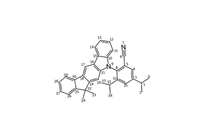 CC(C)c1cc(C#N)c(-n2c3ccccc3c3cc4c(cc32)C(C)(C)c2ccccc2-4)c(C(C)C)c1